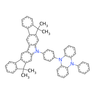 CC1(C)c2ccccc2-c2cc3c4cc5c(cc4n(-c4ccc(N6c7ccccc7N(c7ccccc7)c7ccccc76)cc4)c3cc21)C(C)(C)c1ccccc1-5